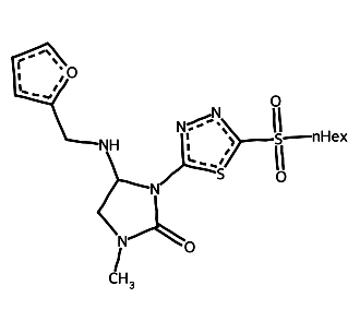 CCCCCCS(=O)(=O)c1nnc(N2C(=O)N(C)CC2NCc2ccco2)s1